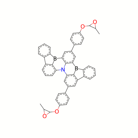 CC1OC1Oc1ccc(-c2cc3c4c(c2)B2c5ccccc5-c5cc(-c6ccc(OC7OC7C)cc6)cc(c52)N4c2cccc4c2B3c2ccccc2-4)cc1